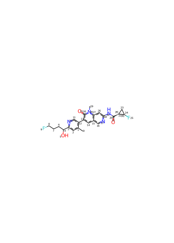 Cc1cc(C(O)CCCF)ncc1-c1cc2cnc(NC(=O)[C@H]3C[C@H]3F)cc2n(C)c1=O